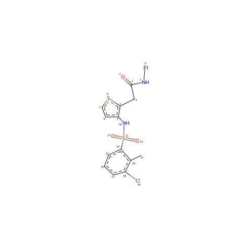 CCNC(=O)Cc1sccc1NS(=O)(=O)c1cccc(Cl)c1C